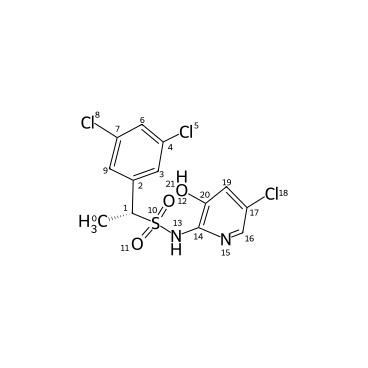 C[C@H](c1cc(Cl)cc(Cl)c1)S(=O)(=O)Nc1ncc(Cl)cc1O